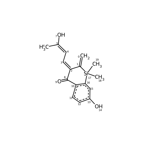 C=C1/C(=C\C=C(/C)O)C(=O)c2ccc(O)cc2[Si]1(C)C